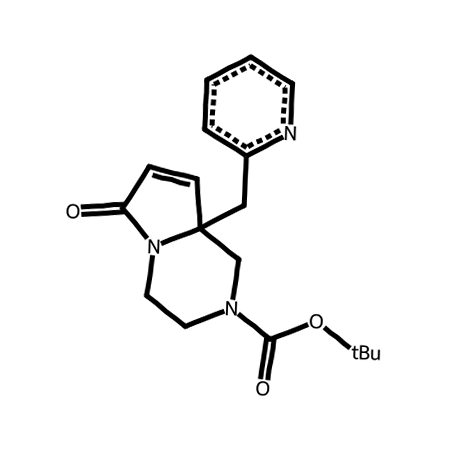 CC(C)(C)OC(=O)N1CCN2C(=O)C=CC2(Cc2ccccn2)C1